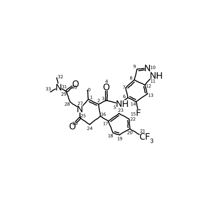 CC1=C(C(=O)Nc2cc3cn[nH]c3cc2F)C(c2ccc(C(F)(F)F)cc2)CC(=O)N1CC(=O)N(C)C